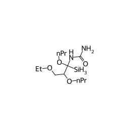 CCCOC(COCC)C([SiH3])(NC(N)=O)OCCC